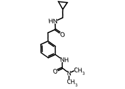 CN(C)C(=O)Nc1cccc(CC(=O)NCC2CC2)c1